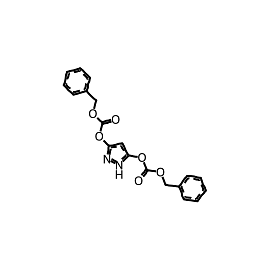 O=C(OCc1ccccc1)Oc1cc(OC(=O)OCc2ccccc2)[nH]n1